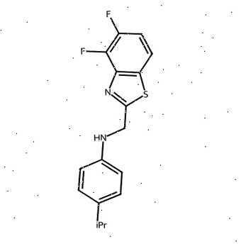 CC(C)c1ccc(NCc2nc3c(F)c(F)ccc3s2)cc1